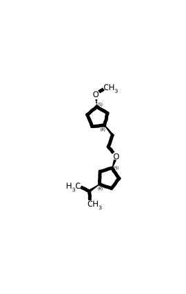 CO[C@H]1CC[C@H](CCO[C@H]2CC[C@@H](C(C)C)C2)C1